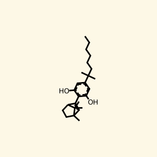 CCCCCCC(C)(C)c1cc(O)c(C2=CC3(C)CCC2C3(C)C)c(O)c1